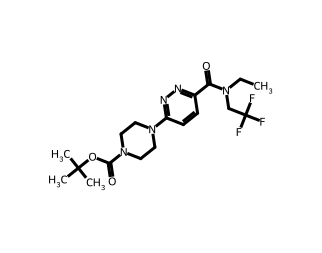 CCN(CC(F)(F)F)C(=O)c1ccc(N2CCN(C(=O)OC(C)(C)C)CC2)nn1